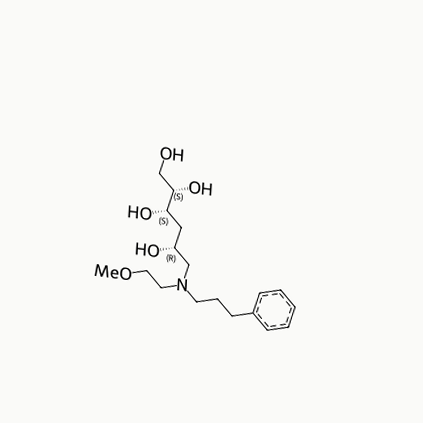 COCCN(CCCc1ccccc1)C[C@H](O)C[C@H](O)[C@@H](O)CO